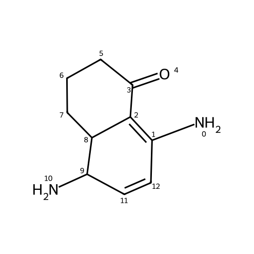 NC1=C2C(=O)CCCC2C(N)C=C1